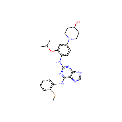 CSc1ccccc1Nc1nc(Nc2ccc(N3CCC(O)CC3)cc2OC(C)C)nc2[nH]cnc12